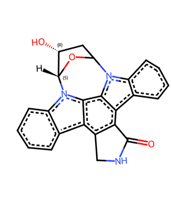 O=C1NCc2c1c1c3ccccc3n3c1c1c2c2ccccc2n1[C@H]1OC3C[C@H]1O